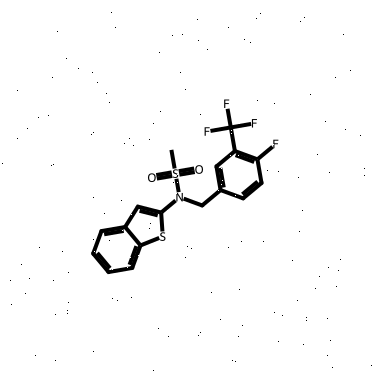 CS(=O)(=O)N(Cc1ccc(F)c(C(F)(F)F)c1)c1cc2ccccc2s1